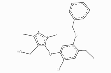 CCc1cc(Cl)c(Oc2c(CO)c(C)nn2C)cc1OCc1ccccc1